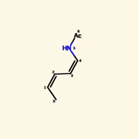 C/C=C\C=C/NC(C)=O